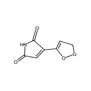 O=C1C=C(C2=CCOO2)C(=O)N1